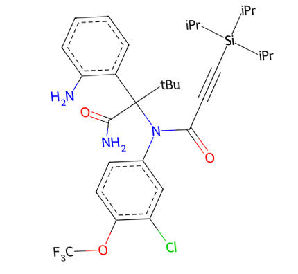 CC(C)[Si](C#CC(=O)N(c1ccc(OC(F)(F)F)c(Cl)c1)C(C(N)=O)(c1ccccc1N)C(C)(C)C)(C(C)C)C(C)C